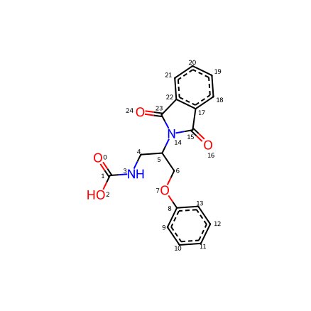 O=C(O)NCC(COc1ccccc1)N1C(=O)c2ccccc2C1=O